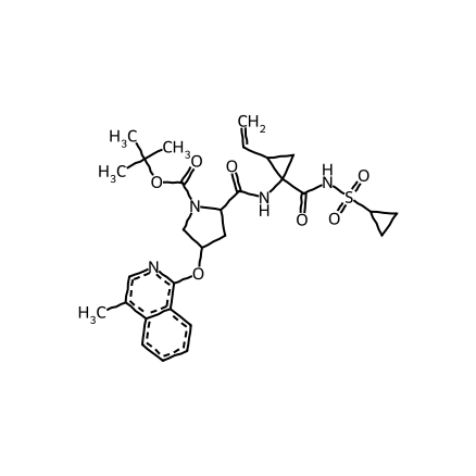 C=CC1CC1(NC(=O)C1CC(Oc2ncc(C)c3ccccc23)CN1C(=O)OC(C)(C)C)C(=O)NS(=O)(=O)C1CC1